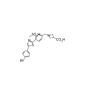 CC(C)c1ccc(-c2cnc(-c3ccc(CN4CC(C(=O)O)C4)cc3)s2)cc1.CS(=O)(=O)O